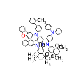 Cc1ccccc1-c1cccc(N(c2ccc3oc4ccccc4c3c2)c2cc(-c3cc(N(c4ccccc4)c4ccccc4)ccc3Nc3ccc4c(c3)C(C)(C)CCC4(C)C)c3c4c2c2cc5ccccc5cc2n4-c2cc4c(cc2B3)C(C)(C)CCC4(C)C)c1